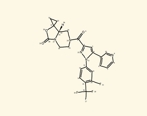 O=C(c1cc(-c2cccnc2)n(-c2ccc(C(F)(F)F)c(F)c2)n1)N1CCN2C(=O)OC3(CC3)[C@@H]2C1